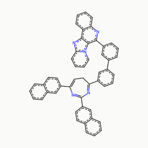 C1=C(c2ccc3ccccc3c2)N=C(c2ccc3ccccc3c2)N=C(c2cccc(-c3cccc(-c4nc5ccccc5c5nc6ccccn6c45)c3)c2)C1